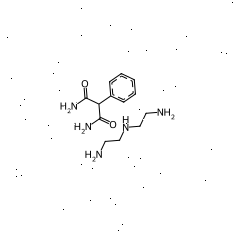 NC(=O)C(C(N)=O)c1ccccc1.NCCNCCN